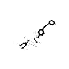 O=C(NC[C@H](NC(=O)c1ccc(C#Cc2ccccc2)cc1)C(=O)NO)c1cc(O)nc(O)c1